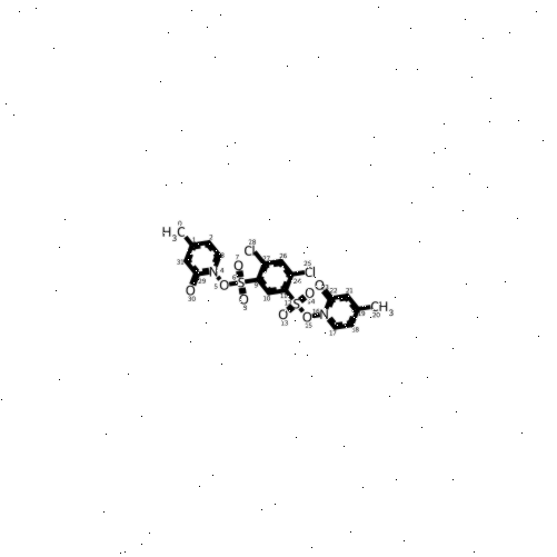 Cc1ccn(OS(=O)(=O)c2cc(S(=O)(=O)On3ccc(C)cc3=O)c(Cl)cc2Cl)c(=O)c1